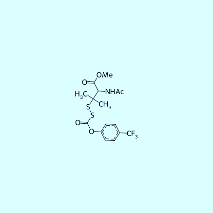 COC(=O)C(NC(C)=O)C(C)(C)SSC(=O)Oc1ccc(C(F)(F)F)cc1